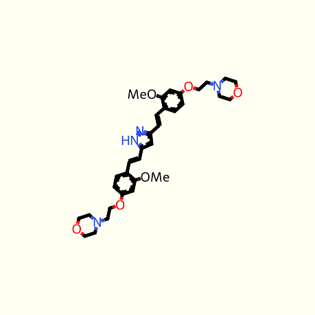 COc1cc(OCCN2CCOCC2)ccc1/C=C/c1cc(/C=C/c2ccc(OCCN3CCOCC3)cc2OC)[nH]n1